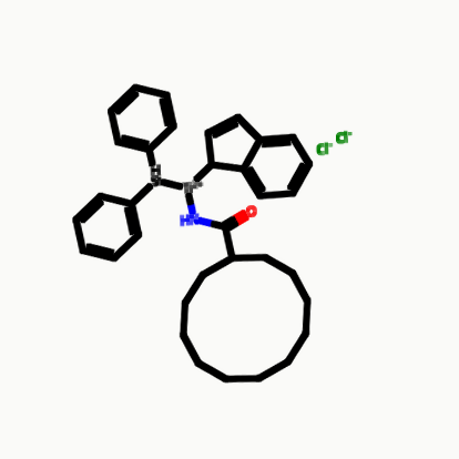 O=C([NH][Ti+2]([CH]1C=Cc2ccccc21)[SiH](c1ccccc1)c1ccccc1)C1CCCCCCCCCCC1.[Cl-].[Cl-]